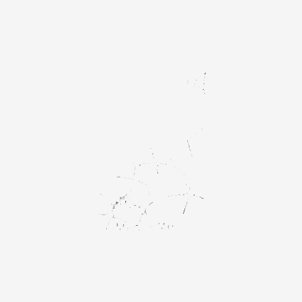 CO[Si](CC[Si](C)(O[SiH](C)[Si](C)(C)C)O[Si](C)(C)O[Si](C)(CCCOCC1CO1)O[Si](C)(C)C)(OC)OC